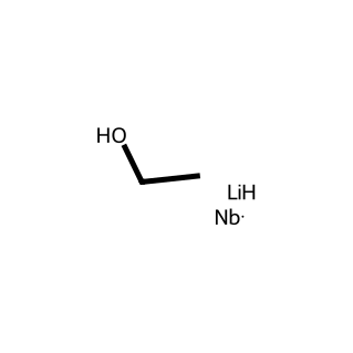 CCO.[LiH].[Nb]